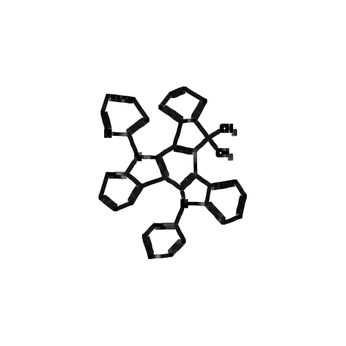 CC1(C)c2ccccc2-c2c1c1c3ccccc3n(-c3ccccc3)c1c1c3ccccc3n(-c3ccccn3)c21